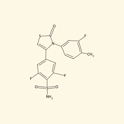 Cc1ccc(-n2c(-c3cc(F)c(S(N)(=O)=O)c(F)c3)csc2=O)cc1F